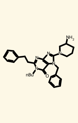 CCCCn1c(CCc2ccccc2)nc2nc(N3CCCC(N)C3)n(Cc3ccccc3)c2c1=O